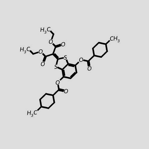 CCOC(=O)C(C(=O)OCC)=C1Sc2c(OC(=O)C3CCC(C)CC3)ccc(OC(=O)C3CCC(C)CC3)c2S1